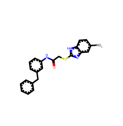 O=C(CSc1nc2cc([N+](=O)[O-])ccc2[nH]1)Nc1cccc(Cc2ccccc2)c1